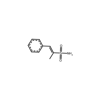 C/C(=C\c1ccccc1)S(N)(=O)=O